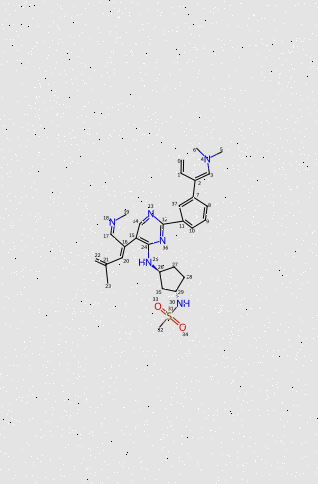 C=C/C(=C\N(C)C)c1cccc(-c2ncc(C(/C=N\C)=C/C(=C)C)c(N[C@H]3CC[C@H](NS(C)(=O)=O)C3)n2)c1